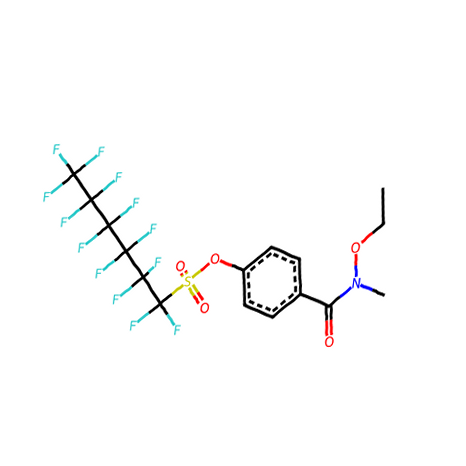 CCON(C)C(=O)c1ccc(OS(=O)(=O)C(F)(F)C(F)(F)C(F)(F)C(F)(F)C(F)(F)C(F)(F)F)cc1